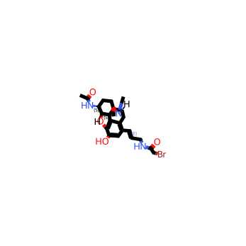 CC(=O)N[C@H]1CCC2[C@H]3Cc4c(/C=C/CNC(=O)CBr)cc(O)c5c4[C@@]2(CCN3C)[C@H]1O5